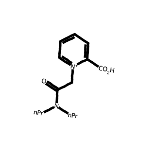 CCCN(CCC)C(=O)C[n+]1ccccc1C(=O)O